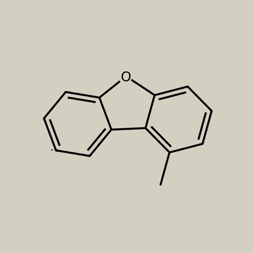 Cc1cccc2oc3cc[c]cc3c12